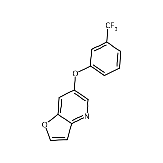 FC(F)(F)c1cccc(Oc2cnc3ccoc3c2)c1